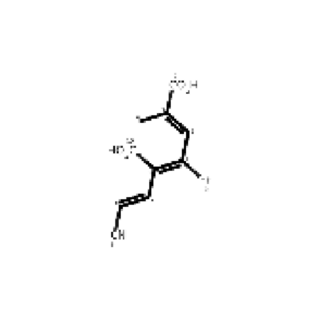 CCC(C=C(C)C(=O)O)=C(C=CC#N)C(=O)O